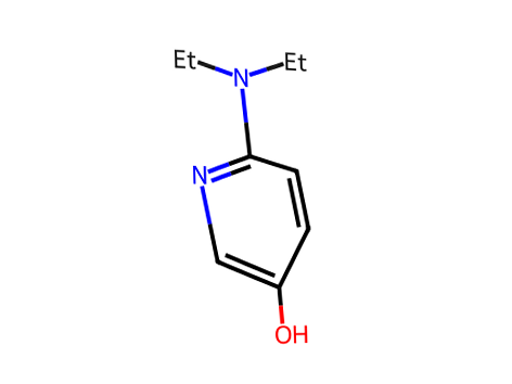 CCN(CC)c1ccc(O)cn1